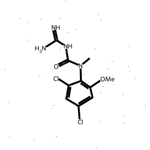 COc1cc(Cl)cc(Cl)c1N(C)C(=O)NC(=N)N